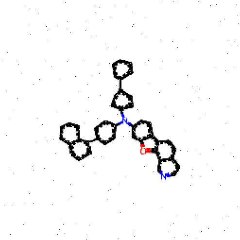 c1ccc(-c2ccc(N(c3ccc(-c4cccc5ccccc45)cc3)c3ccc4c(c3)oc3c5cnccc5ccc43)cc2)cc1